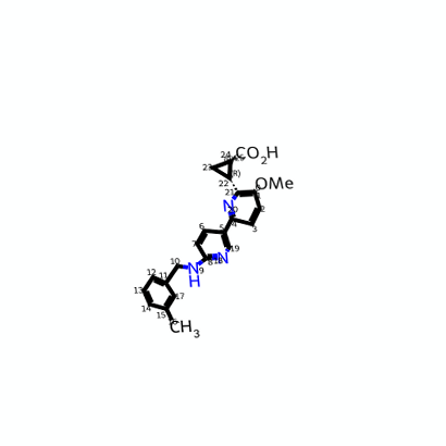 COc1ccc(-c2ccc(NCc3cccc(C)c3)nc2)nc1[C@@H]1C[C@H]1C(=O)O